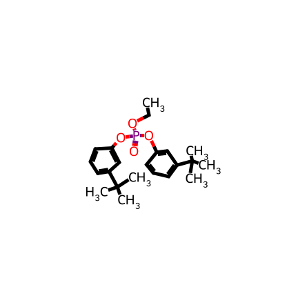 CCOP(=O)(Oc1cccc(C(C)(C)C)c1)Oc1cccc(C(C)(C)C)c1